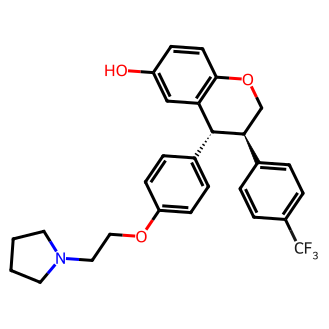 Oc1ccc2c(c1)[C@@H](c1ccc(OCCN3CCCC3)cc1)[C@H](c1ccc(C(F)(F)F)cc1)CO2